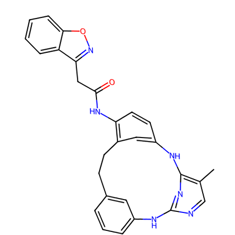 Cc1cnc2nc1Nc1ccc(NC(=O)Cc3noc4ccccc34)c(c1)CCc1cccc(c1)N2